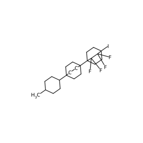 CC1CCC(C23CCC(C45CCC(I)(CC4)C(F)(F)C5(F)F)(CC2)CC3)CC1